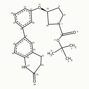 CC(C)(C)OC(=O)N1CC[C@H](Oc2cncc(-c3ccc4c(c3)CCC(=O)N4)c2)C1